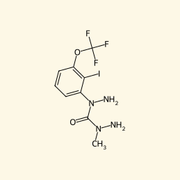 CN(N)C(=O)N(N)c1cccc(OC(F)(F)F)c1I